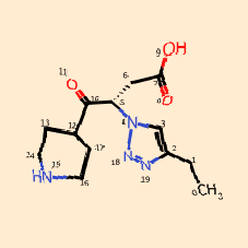 CCc1cn([C@@H](CC(=O)O)C(=O)C2CCNCC2)nn1